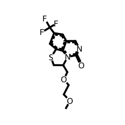 COCCOCC1CSc2cc(C(F)(F)F)cc3cnc(=O)n1c23